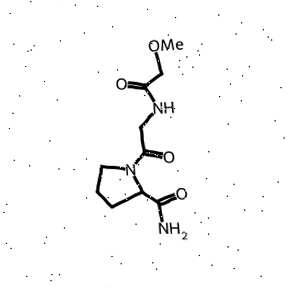 COCC(=O)NCC(=O)N1CCCC1C(N)=O